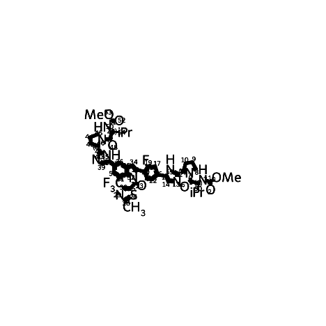 COC(=O)N[C@H](C(=O)N1CCC[C@H]1c1ncc(-c2cc(F)c3c(c2)OC(c2sc(C)nc2C(F)(F)F)n2c-3cc3cc(-c4cnc([C@@H]5CCCN5C(=O)[C@@H](NC(=O)OC)C(C)C)[nH]4)ccc32)[nH]1)C(C)C